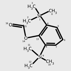 C[Si](C)(C)c1cccc([Si](C)(C)C)c1O[C]=O